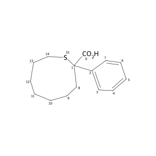 O=C(O)C1(c2ccccc2)CCCCCCCS1